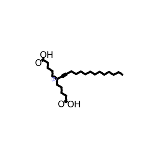 CCCCCCCCCCCCC#C/C(=C\CCCC(=O)O)CCCCC(=O)O